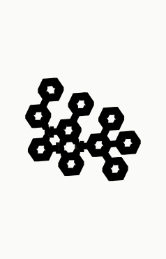 c1ccc(-c2cccc(N3c4ccccc4B4c5ccccc5N(c5cc(-c6ccccc6)c(-c6ccccc6)c(-c6ccccc6)c5)c5cc(-c6ccccc6)cc3c54)c2)cc1